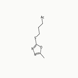 CC(=O)CCCSc1nnc(C)o1